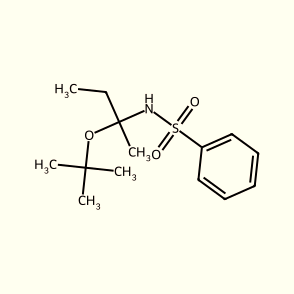 CCC(C)(NS(=O)(=O)c1ccccc1)OC(C)(C)C